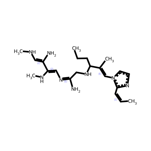 C/C=C\c1nccn1/C=C(\C)C(CCC)NC\C(N)=N/C=C(NC)/C(N)=C/NC